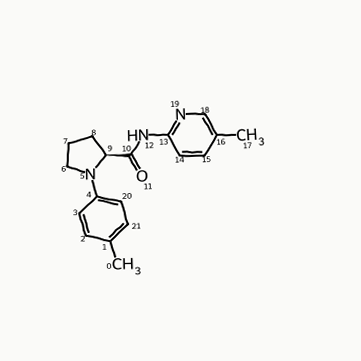 Cc1ccc(N2CCC[C@H]2C(=O)Nc2ccc(C)cn2)cc1